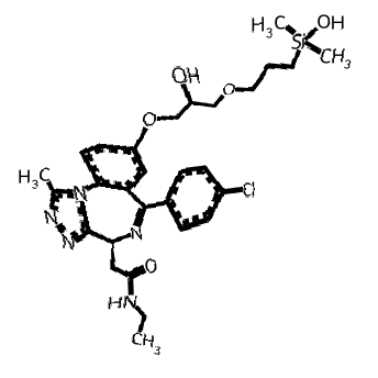 CCNC(=O)C[C@@H]1N=C(c2ccc(Cl)cc2)c2cc(OCC(O)COCCC[Si](C)(C)O)ccc2-n2c(C)nnc21